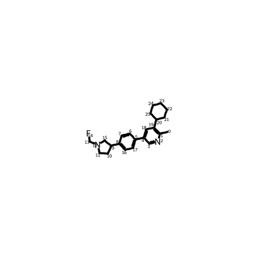 Cc1ncc(-c2ccc(C3CCN(CF)C3)cc2)cc1C1CCCCC1